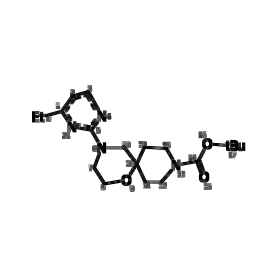 CCc1ccnc(N2CCOC3(CCN(C(=O)OC(C)(C)C)CC3)C2)n1